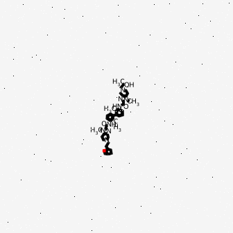 Cc1c(NC(=O)c2nc3c(n2C)CCN(CCC24CCC(CC2)C4)C3)cccc1-c1cccc(NC(=O)c2nc3c(n2C)CCN(C[C@H](C)O)C3)c1C